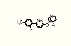 Cc1ccc(-c2ccc(O[C@H]3CN4CC[C@H]3C4)nn2)c(F)c1